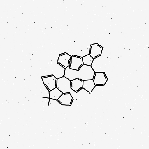 CC1(C)c2ccccc2-c2c(N(c3ccccc3)c3ccc4oc5cccc(C6c7ccccc7-c7ccccc76)c5c4c3)cccc21